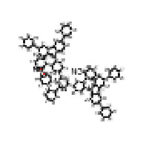 N#Cc1ccc(-c2ccccc2-c2nc(-c3ccc(-n4c5ccc(-c6ccccc6)cc5c5cc(-c6ccccc6)ccc54)c(-c4ccccc4C#N)c3)nc(-c3ccc(-n4c5ccc(-c6ccccc6)cc5c5cc(-c6ccccc6)ccc54)c(-c4ccccc4C#N)c3)n2)cc1